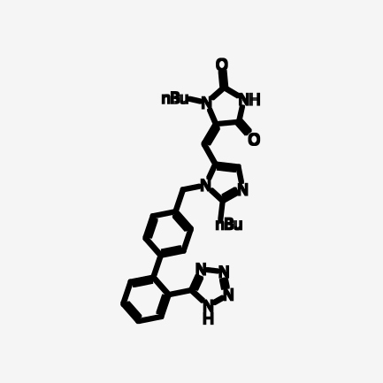 CCCCc1ncc(/C=C2\C(=O)NC(=O)N2CCCC)n1Cc1ccc(-c2ccccc2-c2nnn[nH]2)cc1